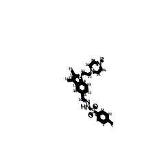 Cc1ccc(S(=O)(=O)N/N=C/c2ccc3c(c2)c(C)c(C)n3CCN2CCN(C)CC2)cc1